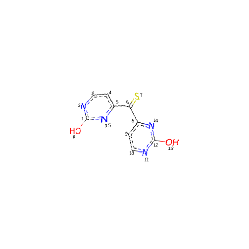 Oc1nccc(C(=S)c2ccnc(O)n2)n1